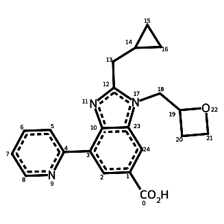 O=C(O)c1cc(-c2ccccn2)c2nc(CC3CC3)n(CC3CCO3)c2c1